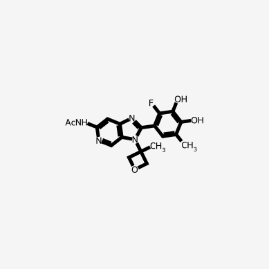 CC(=O)Nc1cc2nc(-c3cc(C)c(O)c(O)c3F)n(C3(C)COC3)c2cn1